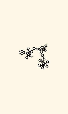 c1ccc(N(c2cccc(-c3ccc(-c4ccc5c(c4)B4c6ccccc6N(c6ccccc6)c6cccc(c64)N5c4ccc(-c5cccc(-c6ccc7c(c6)N(c6ccccc6)c6cc(-c8cc9ccc%10cccc%11ccc(c8)c9c%10%11)cc8c6B7c6ccccc6N8c6ccccc6)c5)cc4)cc3)c2)c2cc3c4c(c2)N(c2ccccc2)c2ccccc2B4c2ccccc2N3c2ccccc2)cc1